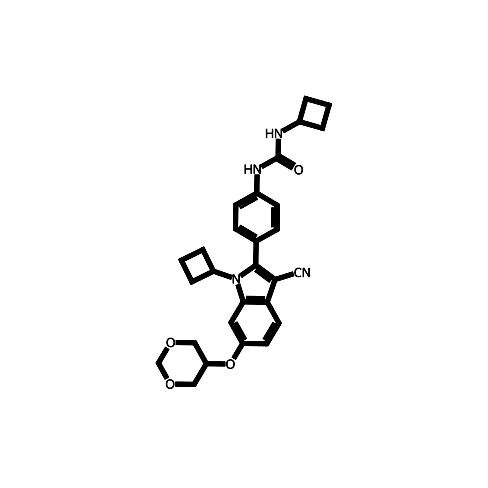 N#Cc1c(-c2ccc(NC(=O)NC3CCC3)cc2)n(C2CCC2)c2cc(OC3COCOC3)ccc12